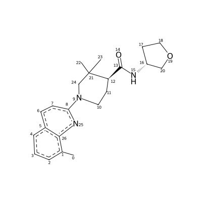 Cc1cccc2ccc(N3CC[C@H](C(=O)N[C@@H]4CCOC4)C(C)(C)C3)nc12